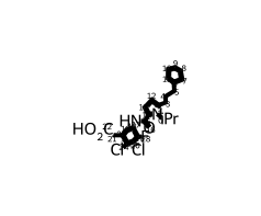 CC(C)n1c(CCCc2ccccc2)ccc1C(=O)Nc1cc(CC(=O)O)c(Cl)c(Cl)c1F